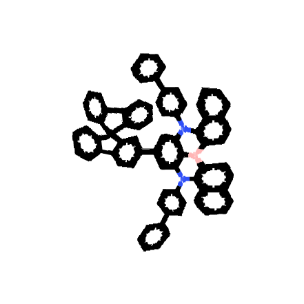 c1ccc(-c2ccc(N3c4cc(-c5ccc6c(c5)C5(c7ccccc7-c7ccccc75)c5ccccc5-6)cc5c4B(c4ccc6ccccc6c43)c3ccc4ccccc4c3N5c3ccc(-c4ccccc4)cc3)cc2)cc1